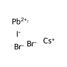 [Br-].[Br-].[Cs+].[I-].[Pb+2]